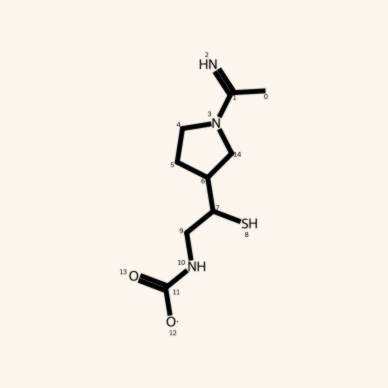 CC(=N)N1CCC(C(S)CNC([O])=O)C1